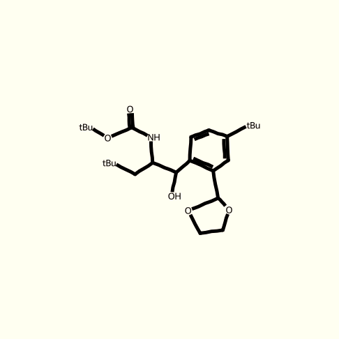 CC(C)(C)CC(NC(=O)OC(C)(C)C)C(O)c1ccc(C(C)(C)C)cc1C1OCCO1